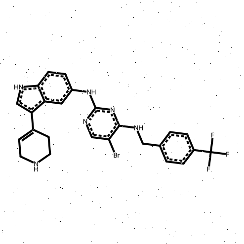 FC(F)(F)c1ccc(CNc2nc(Nc3ccc4[nH]cc(C5=CCNCC5)c4c3)ncc2Br)cc1